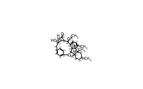 C=C[C@@H]1C=C(C)[C@H]2[C@@H]3[C@H](Oc4ccc(cc4)C[C@@]4(O)CC(C(=O)N4)C(=O)[C@@H]13)[C@@H]1CC[C@@H](C)C[C@]12C